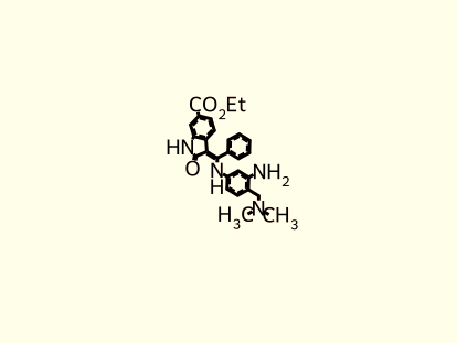 CCOC(=O)c1ccc2c(c1)NC(=O)/C2=C(\Nc1ccc(CN(C)C)c(N)c1)c1ccccc1